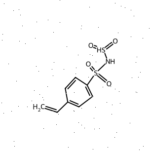 C=Cc1ccc(S(=O)(=O)N[SH](=O)=O)cc1